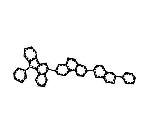 c1ccc(-c2ccc3cc(-c4ccc5c(ccc6cc(-c7cc8c9ncccc9n(-c9ccccc9)c8c8ccccc78)ccc65)c4)ccc3c2)cc1